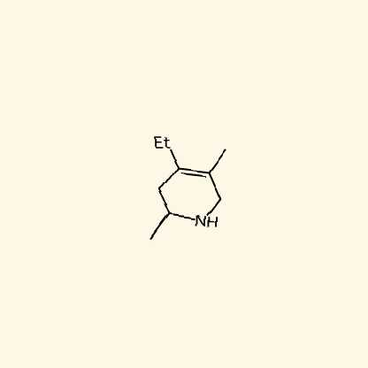 CCC1=C(C)CNC(C)C1